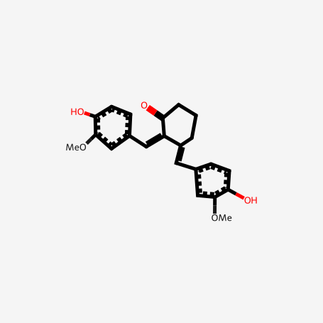 COc1cc(C=C2CCCC(=O)C2=Cc2ccc(O)c(OC)c2)ccc1O